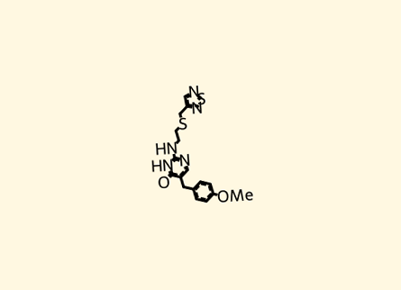 COc1ccc(Cc2cnc(NCCSCc3cnsn3)[nH]c2=O)cc1